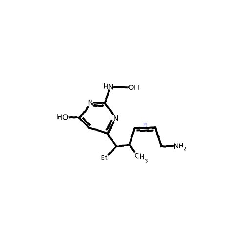 CCC(c1cc(O)nc(NO)n1)C(C)/C=C\CN